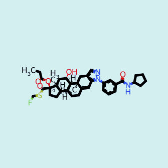 CCC(=O)O[C@]1(C(=O)SCF)CC[C@H]2[C@@H]3CCC4=Cc5c(cnn5-c5cccc(C(=O)NC6CCCC6)c5)C[C@]4(C)[C@H]3[C@@H](O)C[C@@]21C